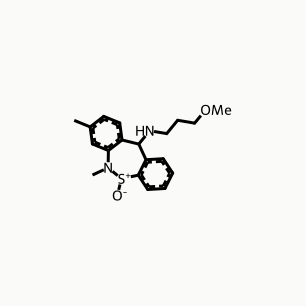 COCCCNC1c2ccc(C)cc2N(C)[S+]([O-])c2ccccc21